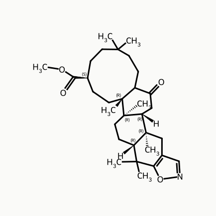 COC(=O)[C@H]1CCC(C)(C)CCC2C(=O)C[C@@H]3[C@@]4(C)Cc5cnoc5C(C)(C)[C@@H]4CC[C@@]3(C)[C@]2(C)CC1